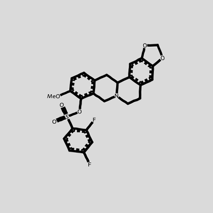 COc1ccc2c(c1OS(=O)(=O)c1ccc(F)cc1F)CN1CCc3cc4c(cc3C1C2)OCO4